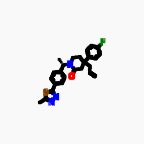 C=CCC1(c2ccc(F)cc2)CCN([C@@H](C)c2ccc(-c3nnc(C)s3)cc2)C(=O)C1